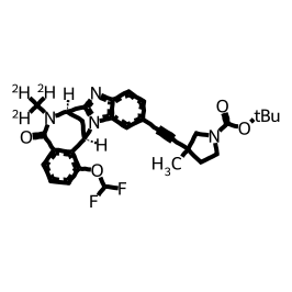 [2H]C([2H])([2H])N1C(=O)c2cccc(OC(F)F)c2[C@H]2C[C@@H]1c1nc3ccc(C#CC4(C)CCN(C(=O)OC(C)(C)C)C4)cc3n12